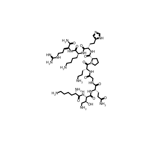 N=C(N)NCC/C=C(\NC(=O)[C@H](CCCCN)NC(=O)[C@H](CCc1cnc[nH]1)NC(=O)[C@@H]1CCCN1C(=O)[C@@H](CCCN)NC(=O)CNC(=O)[C@H](CCC(N)=O)NC(=O)[C@@H](NC(=O)[C@@H](N)CCCCN)[C@@H](O)CN)C(N)=O